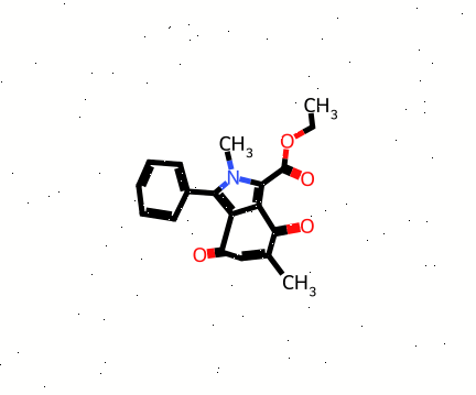 CCOC(=O)c1c2c(c(-c3ccccc3)n1C)C(=O)C=C(C)C2=O